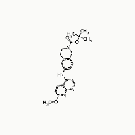 COc1ccc2c(Nc3ccc4c(c3)CCN(C(=O)OC(C)(C)C)C4)ccnc2n1